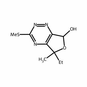 CCC1(C)OC(O)c2nnc(SC)nc21